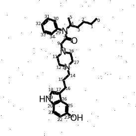 CCCCC(C)N(C(=O)CN1CCN(CCCc2c[nH]c3ccc(O)cc23)CC1)c1ccccc1